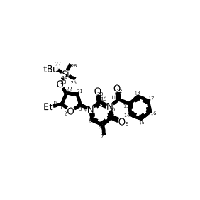 CCC1OC(n2cc(C)c(=O)n(C(=O)c3ccccc3)c2=O)CC1O[Si](C)(C)C(C)(C)C